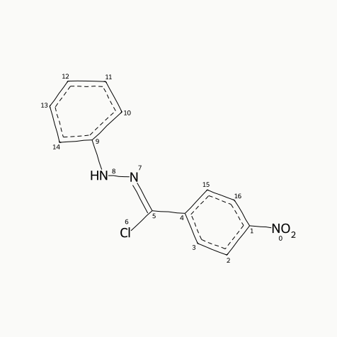 O=[N+]([O-])c1ccc(C(Cl)=NNc2ccccc2)cc1